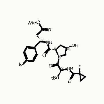 COC(=O)C[C@H](NC(=O)[C@@H]1C[C@@H](O)CN1C(=O)[C@@H](NC(=O)C1(F)CC1)C(C)(C)C)c1ccc(Br)cc1